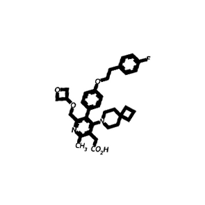 Cc1nc(COC2COC2)c(-c2ccc(OCCc3ccc(F)cc3)cc2)c(N2CCC3(CCC3)CC2)c1CC(=O)O